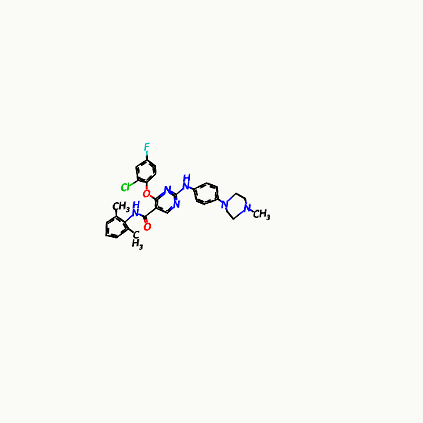 Cc1cccc(C)c1NC(=O)c1cnc(Nc2ccc(N3CCN(C)CC3)cc2)nc1Oc1ccc(F)cc1Cl